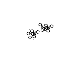 Cc1ccc2c(c1)[Si](c1ccccc1)(c1ccccc1)c1cc(C)ccc1N2c1ccc(-c2ccc3c(c2)N(c2ccccc2)c2cccc4c2B3c2ccccc2N4c2ccccc2)cc1